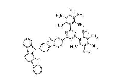 Bc1c(B)c(B)c(-c2nc(-c3ccc4c(c3)oc3cc(-n5c6ccccc6c6ccc7c8ccccc8oc7c65)ccc34)nc(-c3c(B)c(B)c(B)c(B)c3B)n2)c(B)c1B